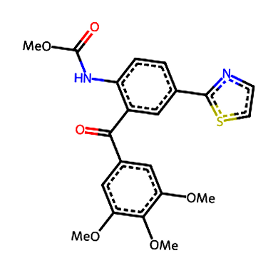 COC(=O)Nc1ccc(-c2nccs2)cc1C(=O)c1cc(OC)c(OC)c(OC)c1